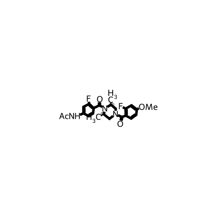 COc1ccc(C(=O)N2C[C@@H](C)N(C(=O)c3ccc(NC(C)=O)cc3F)[C@H](C)C2)c(F)c1